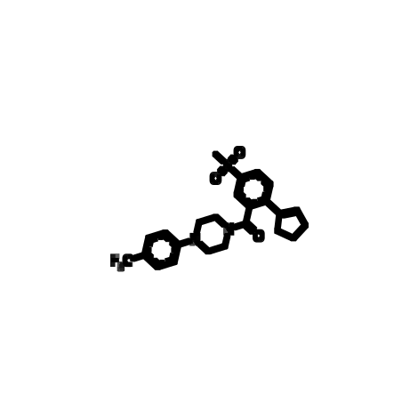 CS(=O)(=O)c1ccc(C2=CCCC2)c(C(=O)N2CCN(c3ccc(C(F)(F)F)cc3)CC2)c1